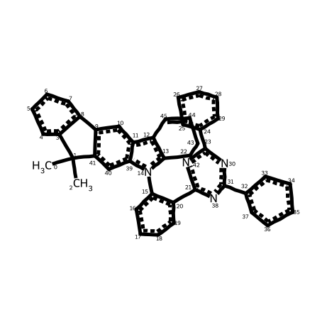 CC1(C)c2ccccc2-c2cc3c4c(n(-c5ccccc5-c5nc(-c6ccccc6)nc(-c6ccccc6)n5)c3cc21)CCC=C4